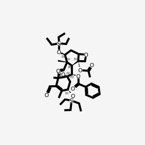 CC[Si](CC)(CC)O[C@H]1C[C@@](O)([C@@H](OC(=O)c2ccccc2)[C@H]2[C@](C)(C=O)[C@@H](O[Si](CC)(CC)CC)CC3OC[C@]32OC(C)=O)C(C)(C)C(C=O)=C1C